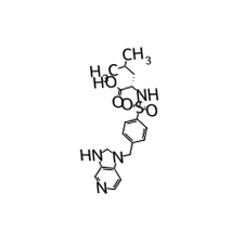 CC(C)C[C@H](NS(=O)(=O)c1ccc(CN2CNc3cnccc32)cc1)C(=O)O